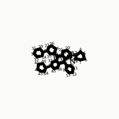 Cc1nc2ccccc2n1-c1ccccc1-c1c2ccccc2c(-c2cccc(-c3ccccc3)c2)c2cc(-c3ccccc3)ccc12